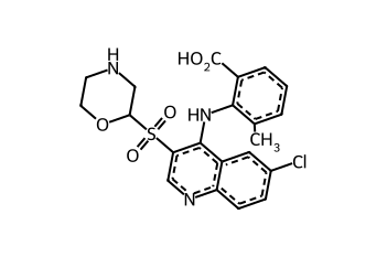 Cc1cccc(C(=O)O)c1Nc1c(S(=O)(=O)C2CNCCO2)cnc2ccc(Cl)cc12